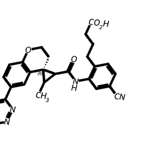 CC1C(C(=O)Nc2cc(C#N)ccc2CCCC(=O)O)[C@@]12CCOc1ccc(-c3cccnn3)cc12